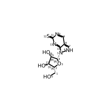 OC[C@H]1O[C@@H](n2[nH]cc3cnc(=S)nc2-3)[C@H](O)[C@@H]1O